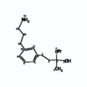 CCCC(C)(O)CCc1cccc(CCCN)c1